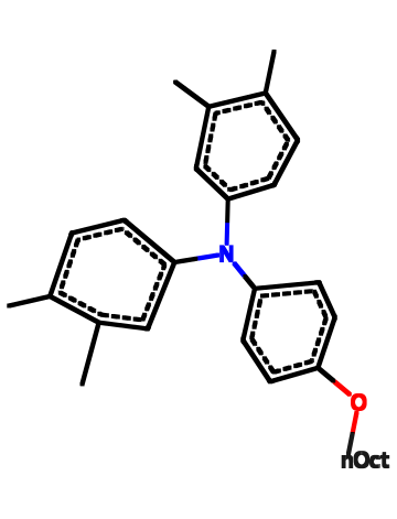 CCCCCCCCOc1ccc(N(c2ccc(C)c(C)c2)c2ccc(C)c(C)c2)cc1